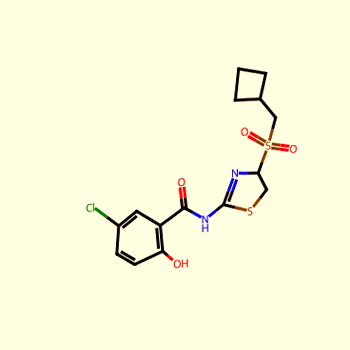 O=C(NC1=NC(S(=O)(=O)CC2CCC2)CS1)c1cc(Cl)ccc1O